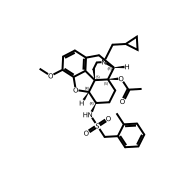 COc1ccc2c3c1O[C@H]1[C@H](NS(=O)(=O)Cc4ccccc4C)CC[C@@]4(OC(C)=O)[C@@H](C2)N(CC2CC2)CC[C@]314